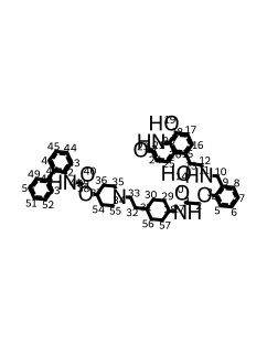 O=C(COc1ccccc1CNC[C@@H](O)c1ccc(O)c2[nH]c(=O)ccc12)NC1CCC(CCN2CCC(OC(=O)Nc3ccccc3-c3ccccc3)CC2)CC1